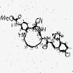 COC(=O)Nc1ccc2c(c1)NCCCCCC(NC(=O)C=Cc1cc(Cl)ccc1-n1cnnn1)c1nc-2c(C#N)[nH]1